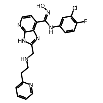 O/N=C(/Nc1ccc(F)c(Cl)c1)c1ccnc2[nH]c(CNCCc3ccccn3)nc12